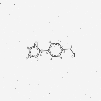 ICc1ccc(-n2cncn2)cc1